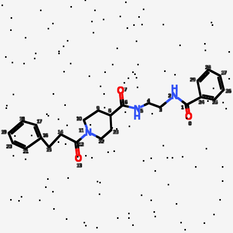 O=C(NCCNC(=O)C1CCN(C(=O)CCc2ccccc2)CC1)c1ccccc1